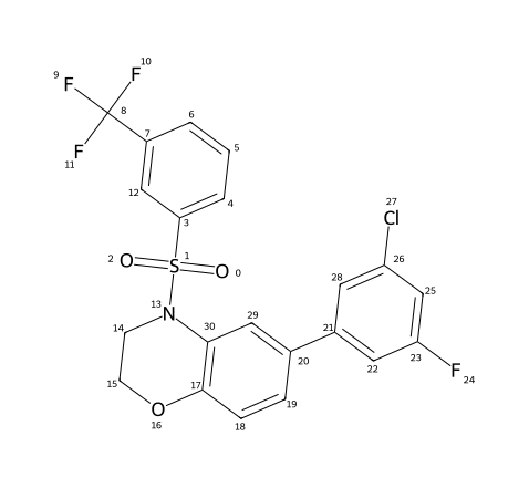 O=S(=O)(c1cccc(C(F)(F)F)c1)N1CCOc2ccc(-c3cc(F)cc(Cl)c3)cc21